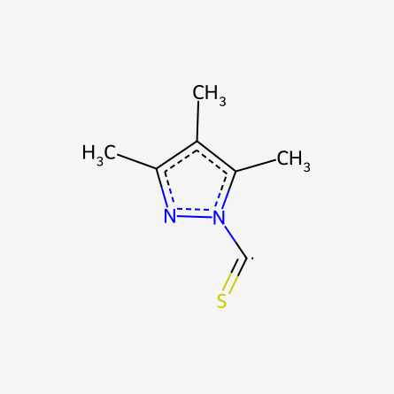 Cc1nn([C]=S)c(C)c1C